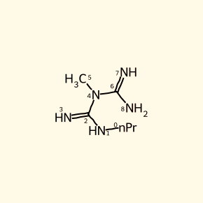 CCCNC(=N)N(C)C(=N)N